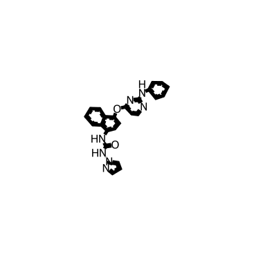 O=C(Nc1ccc(Oc2ccnc(Nc3ccccc3)n2)c2ccccc12)Nn1cccn1